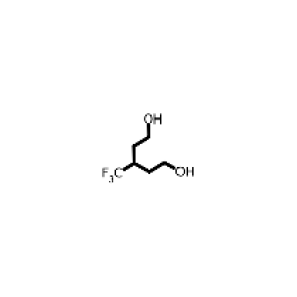 OCCC(CCO)C(F)(F)F